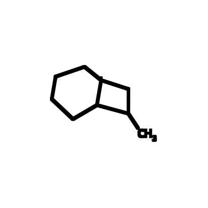 CC1C[C]2CCCCC21